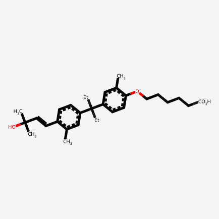 CCC(CC)(c1ccc(/C=C/C(C)(C)O)c(C)c1)c1ccc(OCCCCCC(=O)O)c(C)c1